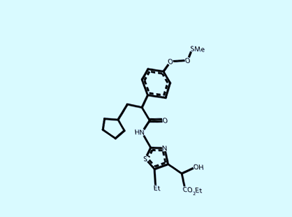 CCOC(=O)C(O)c1nc(NC(=O)C(CC2CCCC2)c2ccc(OOSC)cc2)sc1CC